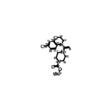 C=C(N1CCN(C(=O)OC(C)(C)C)CC1)N1CCOc2cc(Cl)ccc21